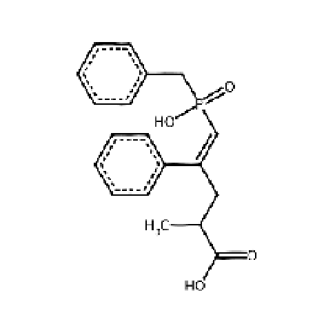 CC(CC(=CP(=O)(O)Cc1ccccc1)c1ccccc1)C(=O)O